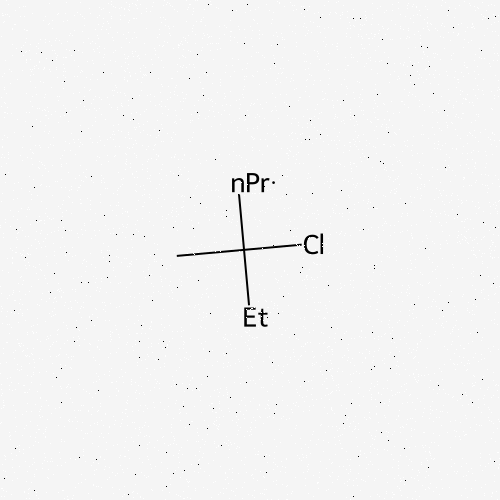 CC[CH]C(C)(Cl)CC